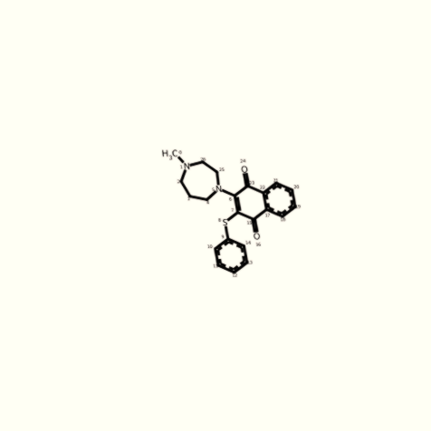 CN1CCCN(C2=C(Sc3ccccc3)C(=O)c3ccccc3C2=O)CC1